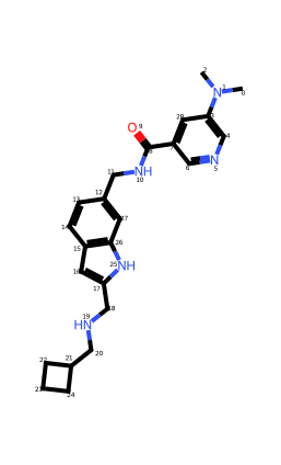 CN(C)c1cncc(C(=O)NCc2ccc3cc(CNCC4CCC4)[nH]c3c2)c1